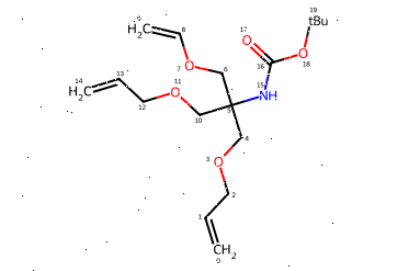 C=CCOCC(COC=C)(COCC=C)NC(=O)OC(C)(C)C